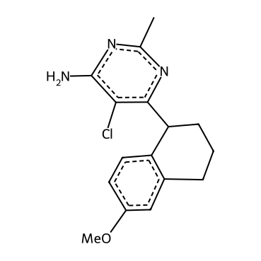 COc1ccc2c(c1)CCCC2c1nc(C)nc(N)c1Cl